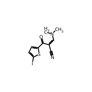 CN(C)/C=C(/C#N)C(=O)c1ccc(I)s1